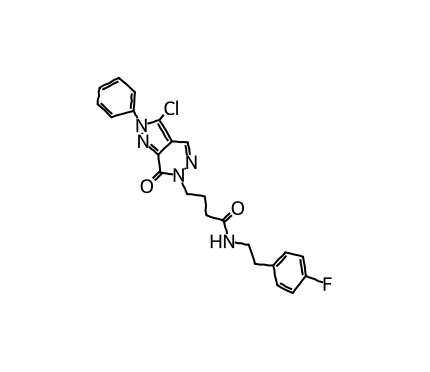 O=C(CCCn1ncc2c(Cl)n(-c3ccccc3)nc2c1=O)NCCc1ccc(F)cc1